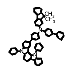 CC1(C)c2ccccc2-c2ccc(N(c3ccc(-c4ccccc4)cc3)c3ccc(-c4ccc5c(c4)c4c(ccc6c7ccccc7n(-c7ccccc7)c64)n5-c4ccccc4)cc3)cc21